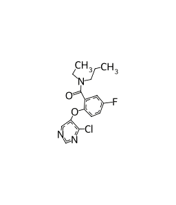 CCCN(CC)C(=O)c1cc(F)ccc1Oc1cncnc1Cl